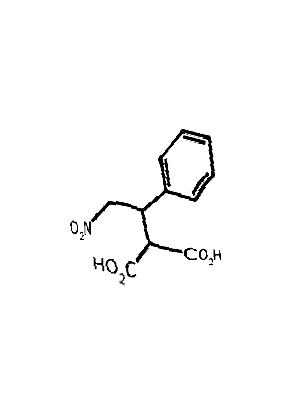 O=C(O)C(C(=O)O)C(C[N+](=O)[O-])c1ccccc1